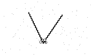 C=C(C(=O)OCCCCCCCCCCCCCCCCCCCCCCCC)C(=O)OCCCCCCCCCCCCCCCCCCCCCCCC